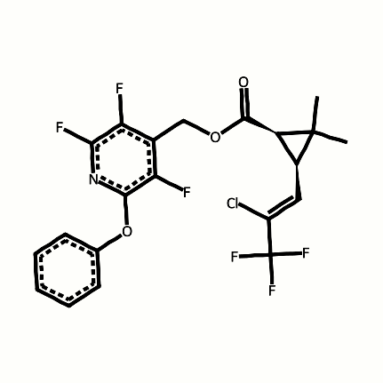 CC1(C)[C@H](C(=O)OCc2c(F)c(F)nc(Oc3ccccc3)c2F)[C@@H]1C=C(Cl)C(F)(F)F